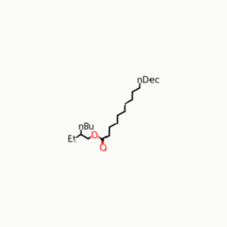 CCCCCCCCCCCCCCCCCCCC(=O)OCC(CC)CCCC